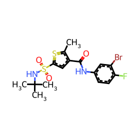 Cc1sc(S(=O)(=O)NC(C)(C)C)cc1C(=O)Nc1ccc(F)c(Br)c1